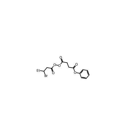 CCC(Br)CC(=O)OOC(=O)CCC(=O)Oc1ccccc1